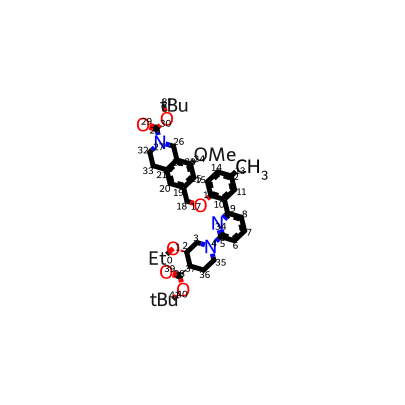 CCO[C@@H]1CN(c2cccc(-c3cc(C)ccc3OCc3cc4c(c(OC)c3)CN(C(=O)OC(C)(C)C)CC4)n2)CC[C@@H]1C(=O)OC(C)(C)C